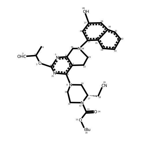 CC(C=O)Oc1nc2c(c(N3CCN(C(=O)OC(C)(C)C)[C@@H](CC#N)C3)n1)CCN(c1cc(O)cc3ccccc13)C2